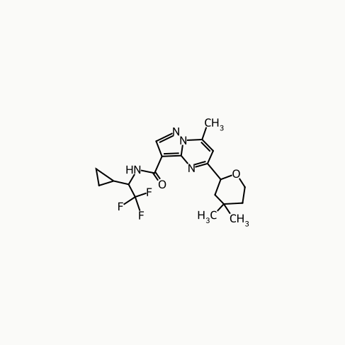 Cc1cc(C2CC(C)(C)CCO2)nc2c(C(=O)NC(C3CC3)C(F)(F)F)cnn12